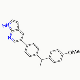 COc1ccc(C(C)c2ccc(-c3cnc4[nH]ccc4c3)cc2)cc1